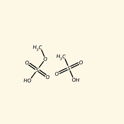 COS(=O)(=O)O.CS(=O)(=O)O